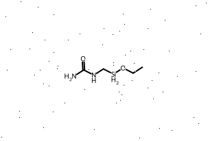 CCO[SiH2]CNC(N)=O